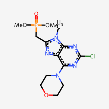 COP(=O)(Cc1nc2c(N3CCOCC3)nc(Cl)nc2n1C)OC